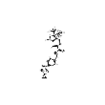 CCOC(c1ccc(C(=O)NCc2ccc(S(=O)(=O)NC3CC3)cc2)cc1)(C(F)(F)F)C(F)(F)F